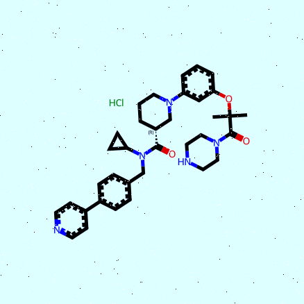 CC(C)(Oc1cccc(N2CCC[C@@H](C(=O)N(Cc3ccc(-c4ccncc4)cc3)C3CC3)C2)c1)C(=O)N1CCNCC1.Cl